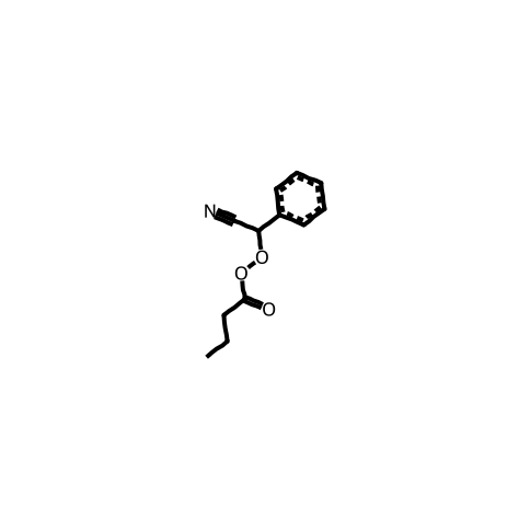 CCCC(=O)OOC(C#N)c1ccccc1